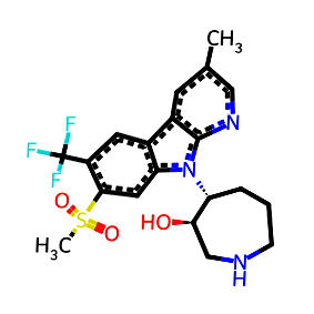 Cc1cnc2c(c1)c1cc(C(F)(F)F)c(S(C)(=O)=O)cc1n2[C@@H]1CCCNC[C@H]1O